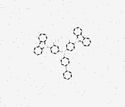 Cc1cc(N(c2ccc(-c3ccccc3)cc2)c2ccc(-n3c4ccccc4c4ccccc43)c(C)c2)ccc1-n1c2ccccc2c2ccccc21